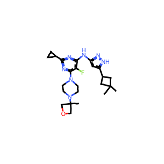 CC1(C)CC(c2cc(Nc3nc(C4CC4)nc(N4CCN(C5(C)COC5)CC4)c3F)n[nH]2)C1